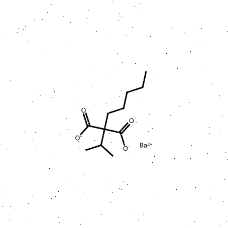 CCCCCC(C(=O)[O-])(C(=O)[O-])C(C)C.[Ba+2]